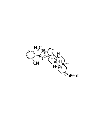 CCCCC[C@H]1CC[C@H]2[C@H](CC[C@@H]3[C@@H]2CC[C@]2(C)[C@@H]([C@@H](C)Cc4ccccc4C#N)CC[C@@H]32)C1